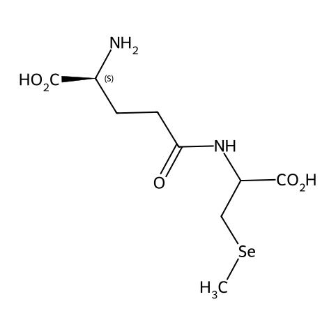 C[Se]CC(NC(=O)CC[C@H](N)C(=O)O)C(=O)O